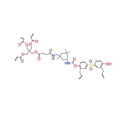 C=CCc1cc(S(=O)(=O)c2ccc(OC(=O)NC3CC(C)(C)CC(C)(CNC(=O)CCC(=O)OCC(COC(=O)C=C)(COC(=O)C=C)COC(=O)C=C)C3)c(CC=C)c2)ccc1O